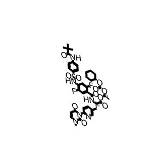 C[C@H](OC(=O)OC1CCCCC1)OC(=O)[C@H](Cc1ccc(-n2c(=O)ccn(C)c2=O)nc1)NC(=O)c1cc(F)c(NS(=O)(=O)c2ccc(NC(=O)C(C)(C)C)cc2)cc1F